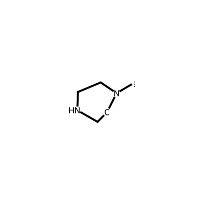 [C]N1CCNCC1